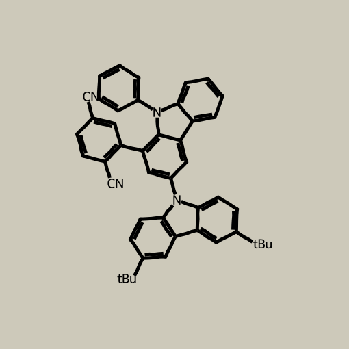 CC(C)(C)c1ccc2c(c1)c1cc(C(C)(C)C)ccc1n2-c1cc(-c2cc(C#N)ccc2C#N)c2c(c1)c1ccccc1n2-c1ccccc1